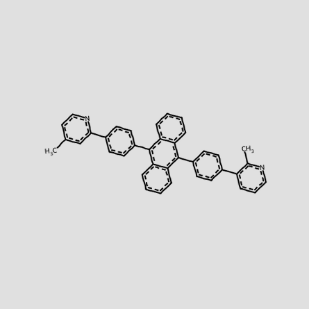 Cc1ccnc(-c2ccc(-c3c4ccccc4c(-c4ccc(-c5cccnc5C)cc4)c4ccccc34)cc2)c1